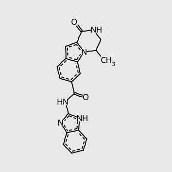 CC1CNC(=O)c2cc3ccc(C(=O)Nc4nc5ccccc5[nH]4)cc3n21